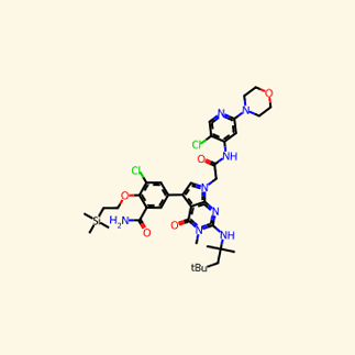 Cn1c(NC(C)(C)CC(C)(C)C)nc2c(c(-c3cc(Cl)c(OCC[Si](C)(C)C)c(C(N)=O)c3)cn2CC(=O)Nc2cc(N3CCOCC3)ncc2Cl)c1=O